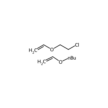 C=COCCCC.C=COCCCl